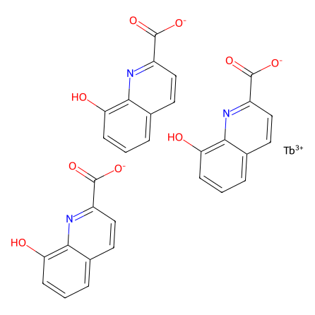 O=C([O-])c1ccc2cccc(O)c2n1.O=C([O-])c1ccc2cccc(O)c2n1.O=C([O-])c1ccc2cccc(O)c2n1.[Tb+3]